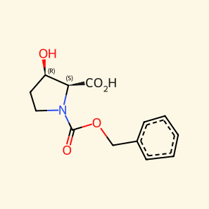 O=C(O)[C@@H]1[C@H](O)CCN1C(=O)OCc1ccccc1